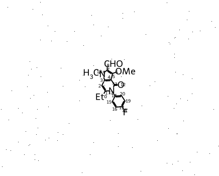 CCc1cc2c(c(OC)c(C=O)n2C)c(=O)n1-c1ccc(F)cc1